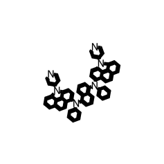 c1ccc(N(c2cccc3c(N(c4ccccc4)c4ccc5c6c4ccc4cccc(c46)n5-c4ccncc4)cccc23)c2ccc3c4c2ccc2cccc(c24)n3-c2ccncc2)cc1